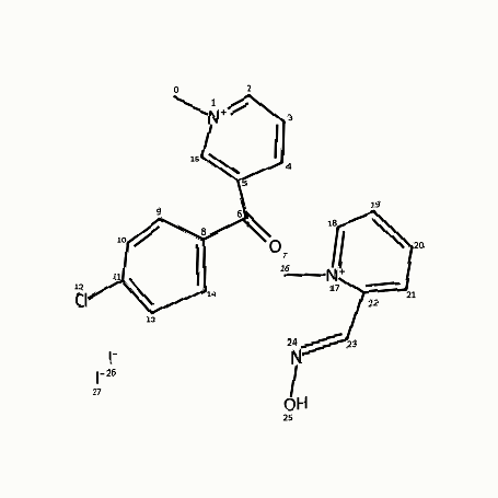 C[n+]1cccc(C(=O)c2ccc(Cl)cc2)c1.C[n+]1ccccc1C=NO.[I-].[I-]